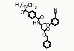 CN(C)C(=O)c1ccc(C(=O)N[C@@H](COc2cccc(C#N)c2)CC(=O)OCc2ccccc2)cc1